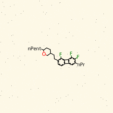 CCCCCC1CCC(CCc2ccc3c(c2F)-c2c-3cc(CCC)c(F)c2F)CO1